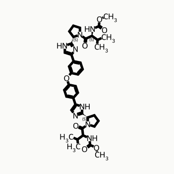 COC(=O)NC(C(=O)N1CCC[C@H]1c1ncc(-c2ccc(Oc3cccc(-c4c[nH]c([C@@H]5CCCN5C(=O)[C@@H](NC(=O)OC)C(C)C)n4)c3)cc2)[nH]1)C(C)C